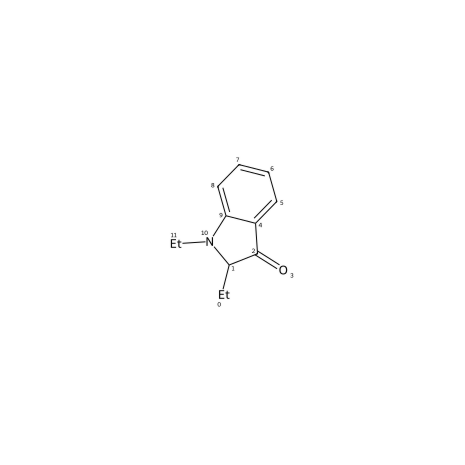 CCC1C(=O)c2ccccc2N1CC